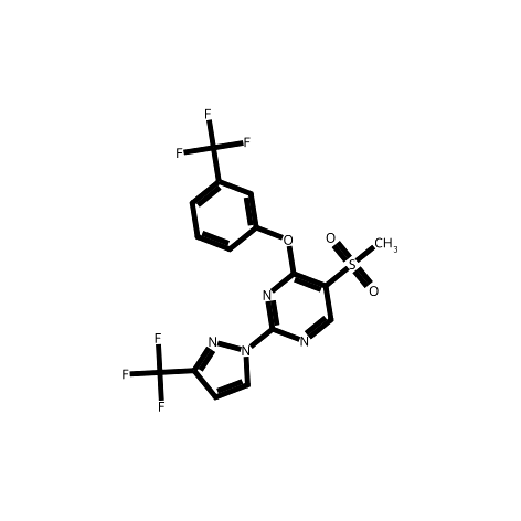 CS(=O)(=O)c1cnc(-n2ccc(C(F)(F)F)n2)nc1Oc1cccc(C(F)(F)F)c1